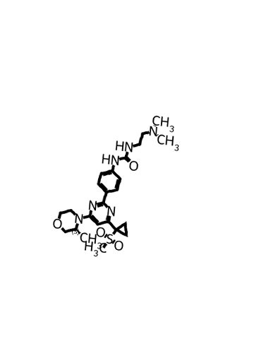 C[C@H]1COCCN1c1cc(C2(S(C)(=O)=O)CC2)nc(-c2ccc(NC(=O)NCCN(C)C)cc2)n1